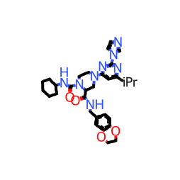 CC(C)c1cc(N2CCN(C(=O)NC3CCCCC3)C(C(=O)NCc3ccc4c(c3)OCCO4)C2)nc(-n2ccnc2)n1